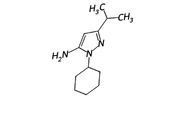 CC(C)c1cc(N)n(C2CCCCC2)n1